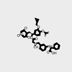 CN(CC(=O)O[C@@H](Cc1c(Cl)c[n+]([O-])cc1Cl)c1ccc(OC(F)F)c(OCC2CC2)c1)Cc1cccc(NC(C(=O)O)c2ccccc2)c1